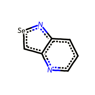 c1cnc2c[se]nc2c1